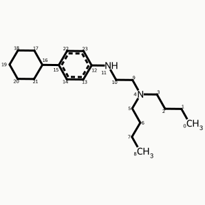 CCCCN(CCCC)CCNc1ccc(C2CCCCC2)cc1